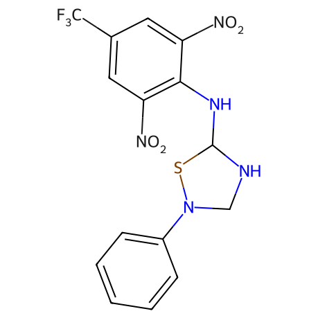 O=[N+]([O-])c1cc(C(F)(F)F)cc([N+](=O)[O-])c1NC1NCN(c2ccccc2)S1